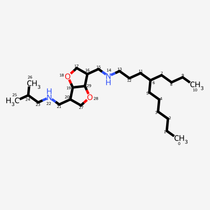 CCCCCCC(CCCC)CCCNCC1COC2C(CNCC(C)C)COC12